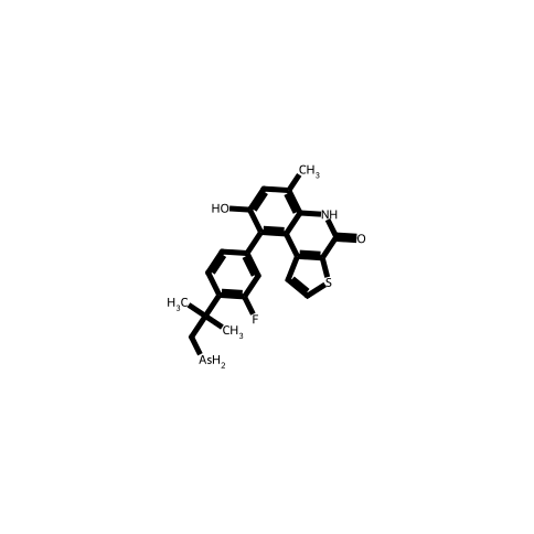 Cc1cc(O)c(-c2ccc(C(C)(C)C[AsH2])c(F)c2)c2c1[nH]c(=O)c1sccc12